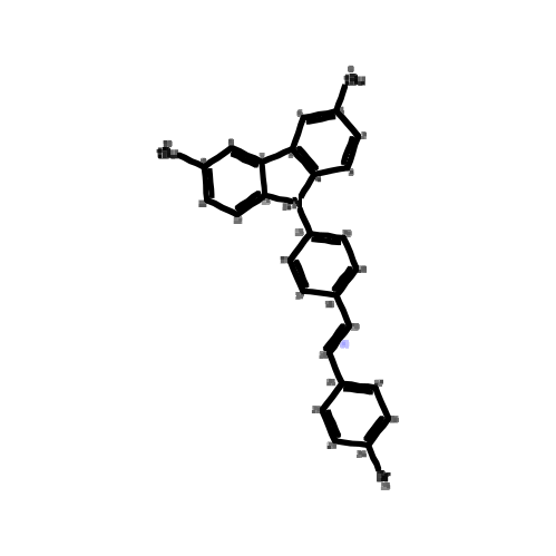 CC(C)(C)c1ccc2c(c1)c1cc(C(C)(C)C)ccc1n2-c1ccc(/C=C/c2ccc(Br)cc2)cc1